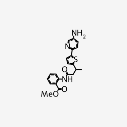 COC(=O)c1ccccc1NC(=O)CC(C)c1ccc(-c2ccc(N)cn2)s1